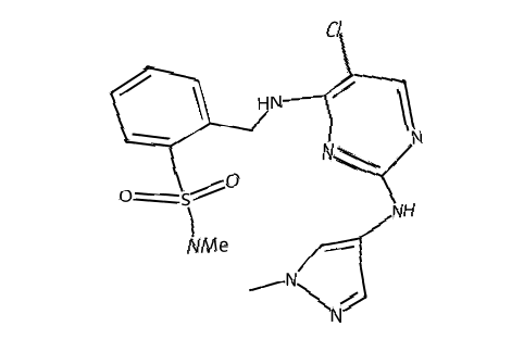 CNS(=O)(=O)c1ccccc1CNc1nc(Nc2cnn(C)c2)ncc1Cl